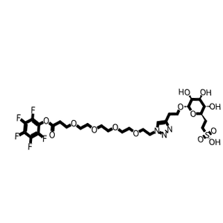 O=C(CCOCCOCCOCCOCCn1cc(CCO[C@H]2O[C@H](CCS(=O)(=O)O)[C@@H](O)[C@H](O)[C@@H]2O)nn1)Oc1c(F)c(F)c(F)c(F)c1F